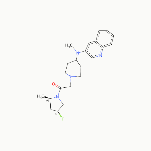 C[C@@H]1C[C@H](F)CN1C(=O)CN1CCC(N(C)c2cnc3ccccc3c2)CC1